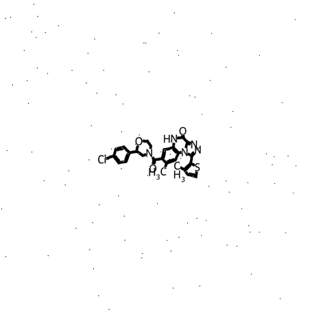 Cc1cc2c(cc1C(=O)N1CCOC(c3ccc(Cl)cc3)C1)[nH]c(=O)c1nnc(-c3sccc3C)n12